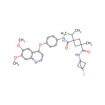 COc1cc2nccc(Oc3ccc(NC(=O)C4(C(C)C)CC(C)(C(=O)NC56CC(F)(C5)C6)C4)cc3)c2cc1OC